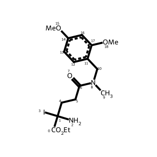 CCOC(=O)C(N)(I)CCC(=O)N(C)Cc1ccc(OC)cc1OC